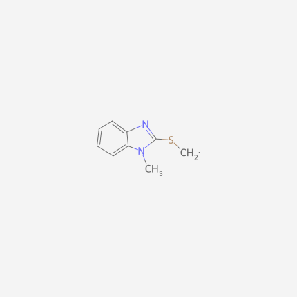 [CH2]Sc1nc2ccccc2n1C